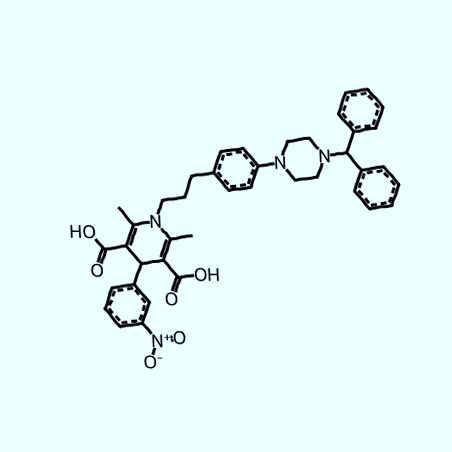 CC1=C(C(=O)O)C(c2cccc([N+](=O)[O-])c2)C(C(=O)O)=C(C)N1CCCc1ccc(N2CCN(C(c3ccccc3)c3ccccc3)CC2)cc1